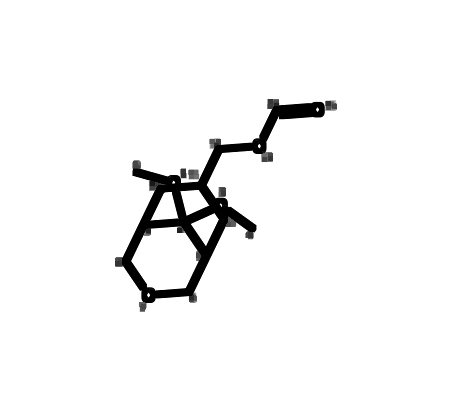 COC1(OC)C2COCC1CC(COC=O)C2